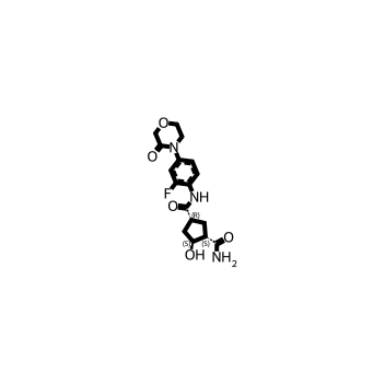 NC(=O)[C@H]1C[C@@H](C(=O)Nc2ccc(N3CCOCC3=O)cc2F)C[C@@H]1O